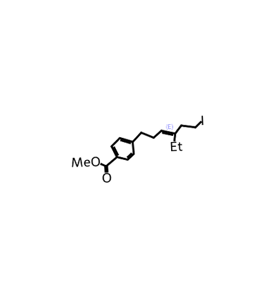 CC/C(=C\CCc1ccc(C(=O)OC)cc1)CCI